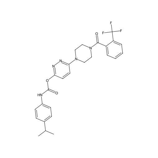 CC(C)c1ccc(NC(=O)Oc2ccc(N3CCN(C(=O)c4ccccc4C(F)(F)F)CC3)nn2)cc1